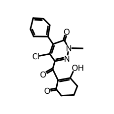 Cn1nc(C(=O)C2=C(O)CCCC2=O)c(Cl)c(-c2ccccc2)c1=O